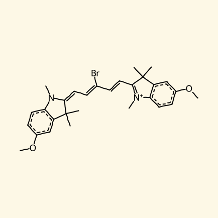 COc1ccc2c(c1)C(C)(C)C(/C=C/C(Br)=C/C=C1/N(C)c3ccc(OC)cc3C1(C)C)=[N+]2C